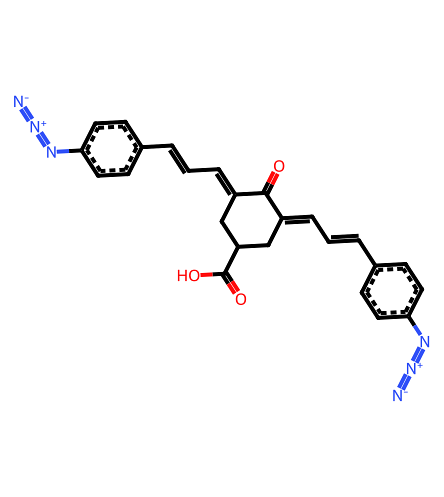 [N-]=[N+]=Nc1ccc(/C=C/C=C2\CC(C(=O)O)C/C(=C\C=C\c3ccc(N=[N+]=[N-])cc3)C2=O)cc1